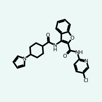 O=C(Nc1ccc(Cl)cn1)c1oc2ccccc2c1NC(=O)C1CCC(n2cccc2)CC1